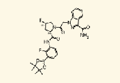 CC1(C)OB(c2cccc(NC(=O)[C@@H]3C[C@@H](F)CN3C(=O)Cn3nc(C(N)=O)c4ccccc43)c2F)OC1(C)C